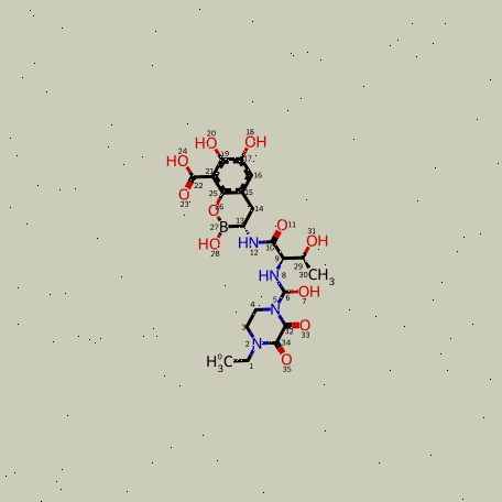 CCN1CCN(C(O)N[C@@H](C(=O)N[C@H]2Cc3cc(O)c(O)c(C(=O)O)c3OB2O)[C@H](C)O)C(=O)C1=O